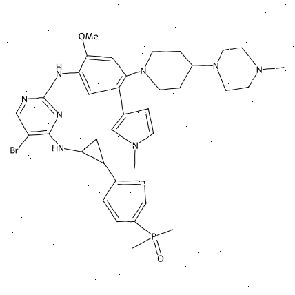 COc1cc(N2CCC(N3CCN(C)CC3)CC2)c(-c2ccn(C)c2)cc1Nc1ncc(Br)c(NC2CC2c2ccc(P(C)(C)=O)cc2)n1